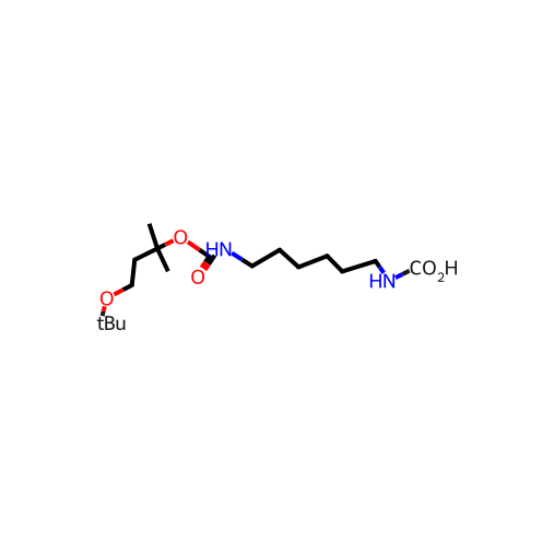 CC(C)(C)OCCC(C)(C)OC(=O)NCCCCCCNC(=O)O